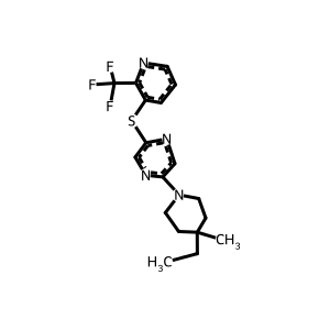 CCC1(C)CCN(c2cnc(Sc3cccnc3C(F)(F)F)cn2)CC1